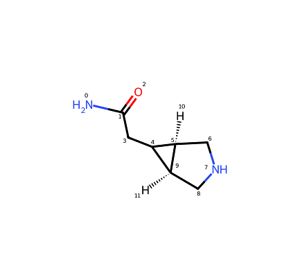 NC(=O)CC1[C@H]2CNC[C@@H]12